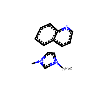 CCCCCCn1cc[n+](C)c1.c1ccc2ncccc2c1